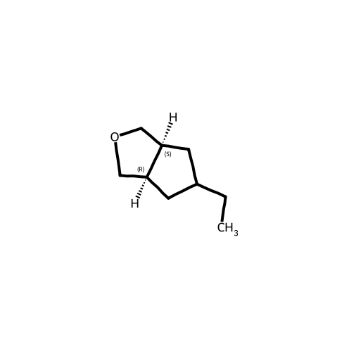 CCC1C[C@H]2COC[C@H]2C1